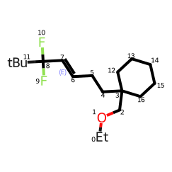 CCOCC1(CC/C=C/C(F)(F)C(C)(C)C)CCCCC1